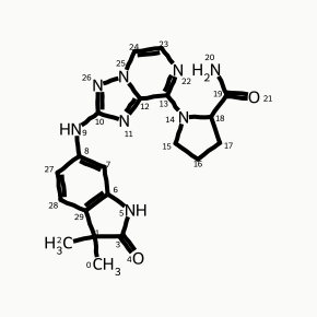 CC1(C)C(=O)Nc2cc(Nc3nc4c(N5CCCC5C(N)=O)nccn4n3)ccc21